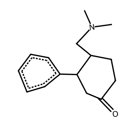 CN(C)CC1CCC(=O)CC1c1ccccc1